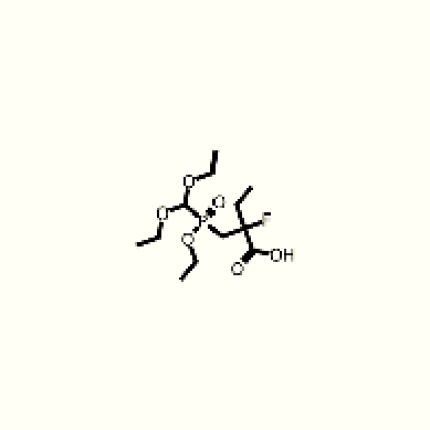 CCOC(OCC)P(=O)(CC(F)(CC)C(=O)O)OCC